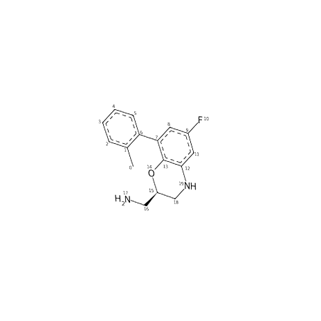 Cc1ccccc1-c1cc(F)cc2c1O[C@H](CN)CN2